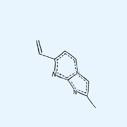 C=Cc1ccn2cc(C)nc2n1